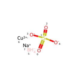 O=S(=O)([O-])[O-].[BH4-].[Cu+2].[Na+]